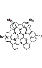 CC(C)(C)c1ccc2c(c1)c1cc(C(C)(C)C)ccc1n2-c1c2c3c(c(-n4c5ccc(C(C)(C)C)cc5c5cc(C(C)(C)C)ccc54)c1-n1c4ccc(C(C)(C)C)cc4c4cc(C(C)(C)C)ccc41)B1c4ccccc4-c4cccc(c41)N3c1cccc3c1B2c1ccccc1-3